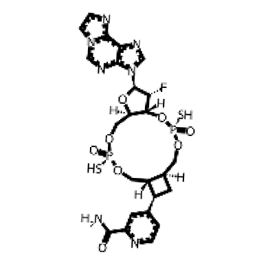 NC(=O)c1cc([C@@H]2C[C@@H]3CO[P@@](=O)(S)O[C@H]4[C@@H](F)[C@H](n5cnc6c5ncn5ccnc65)O[C@@H]4CO[P@](=O)(S)OC[C@H]32)ccn1